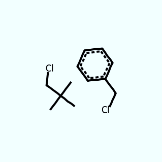 CC(C)(C)CCl.ClCc1ccccc1